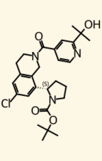 CC(C)(C)OC(=O)N1CCC[C@H]1c1cc(Cl)cc2c1CN(C(=O)c1ccnc(C(C)(C)O)c1)CC2